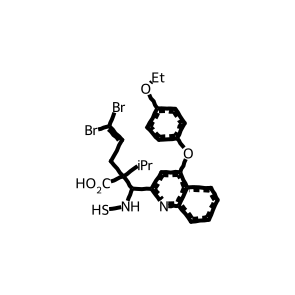 CCOc1ccc(Oc2cc(C(NS)C(CC=C(Br)Br)(C(=O)O)C(C)C)nc3ccccc23)cc1